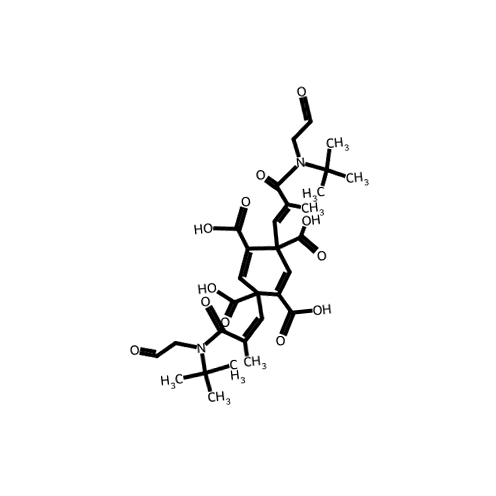 CC(=CC1(C(=O)O)C=C(C(=O)O)C(C=C(C)C(=O)N(CC=O)C(C)(C)C)(C(=O)O)C=C1C(=O)O)C(=O)N(CC=O)C(C)(C)C